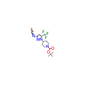 CC(C)(C)OC(=O)N1CCC(n2nc(N=C=S)cc2C(F)(F)F)CC1